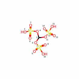 O=S(=O)(O)OC(OS(=O)(=O)O)OS(=O)(=O)O